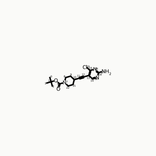 CC(C)(C)OC(=O)N1CCC(C#Cc2cnc(N)nc2Cl)CC1